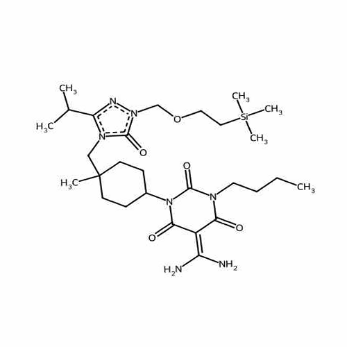 CCCCN1C(=O)C(=C(N)N)C(=O)N(C2CCC(C)(Cn3c(C(C)C)nn(COCC[Si](C)(C)C)c3=O)CC2)C1=O